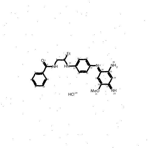 CCC(CNC(=O)c1ccccc1)Nc1ccc(N=C2C=C(OC)C(=N)C=C2N)cc1.Cl